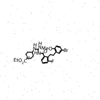 CCOC(=O)N1CCC(NC(=N)NC(=O)c2cccc(F)c2CCc2cc(Br)ccc2OC)CC1